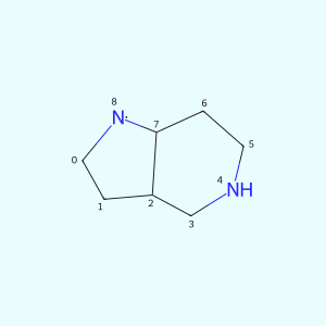 C1CC2CNCCC2[N]1